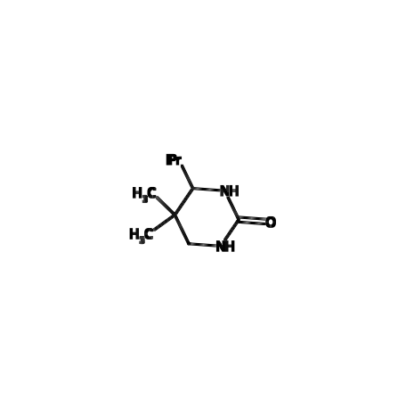 CC(C)C1NC(=O)NCC1(C)C